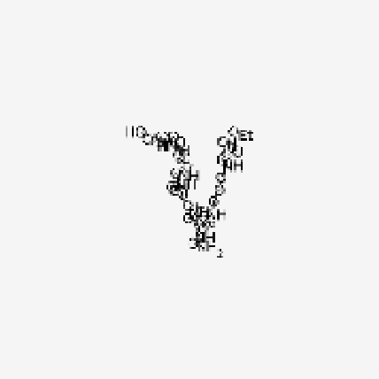 C=Cc1ccccc1N(Cc1ccccc1CC)C(=O)CCC(=O)NCCOCCOCCOCCNC(=O)C1(C(=O)N[C@@H](CCCNC(N)=O)C(=O)Nc2ccc(COC(=O)N[C@@H](CO)C(=O)Nc3ccc4c(c3)[C@@]3(C)CCC[C@](C)(C(=O)NC(=O)[C@@]5(C)CCC[C@]6(C)c7cc(O)ccc7CC[C@@H]56)[C@@H]3CC4)cc2)CCC1